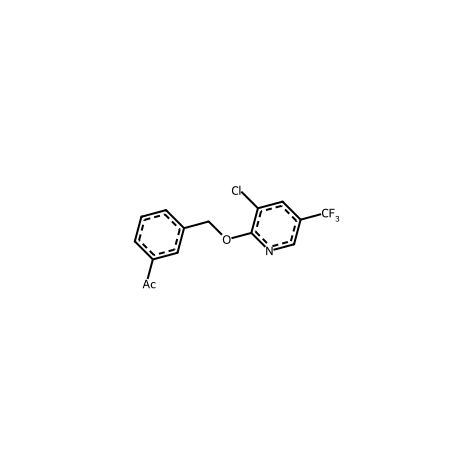 CC(=O)c1cccc(COc2ncc(C(F)(F)F)cc2Cl)c1